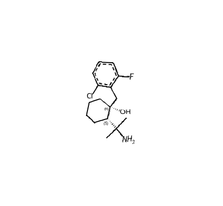 CC(C)(N)[C@@H]1CCCC[C@@]1(O)Cc1c(F)cccc1Cl